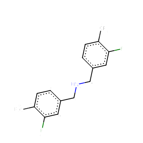 Fc1cc(CNCc2ccc(C(F)(F)F)c(F)c2)ccc1C(F)(F)F